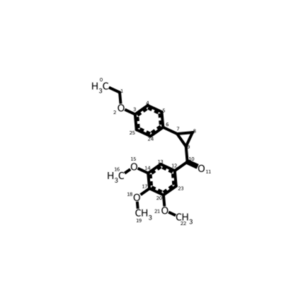 CCOc1ccc(C2CC2C(=O)c2cc(OC)c(OC)c(OC)c2)cc1